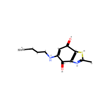 CNCCCNC1=CC(=O)c2sc(C)nc2C1=O